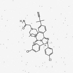 CCOc1cc(C(C)(C)C#N)ccc1C1=N[C@@](C)(c2ccc(Cl)cc2)[C@@](C)(c2ccc(Cl)cc2)N1C(=O)N1CCN(CC(N)=O)CC1